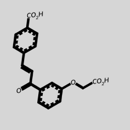 O=C(O)COc1cccc(C(=O)C=Cc2ccc(C(=O)O)cc2)c1